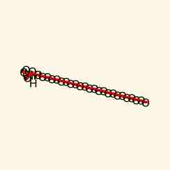 COCCOCCOCCOCCOCCOCCOCCOCCOCCOCCOCCOCCOCCOCCOCCOCCOCCOCCOCCOCCOCCOCCOCCOCCNC(=O)C(CCC(=O)OC(C)(C)C)NC(=O)OC(C)(C)C